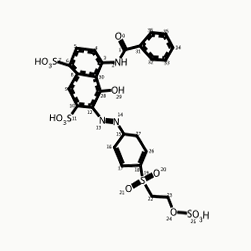 O=C(Nc1ccc(S(=O)(=O)O)c2cc(S(=O)(=O)O)c(/N=N/C3C=CC(S(=O)(=O)CCOS(=O)(=O)O)=CC3)c(O)c12)c1ccccc1